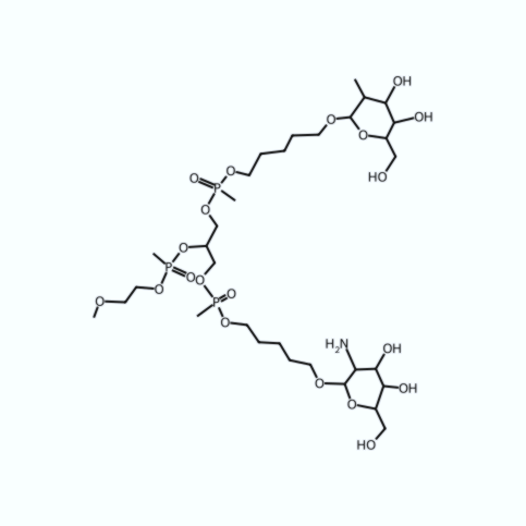 COCCOP(C)(=O)OC(COP(C)(=O)OCCCCCOC1OC(CO)C(O)C(O)C1C)COP(C)(=O)OCCCCCOC1OC(CO)C(O)C(O)C1N